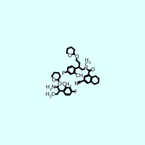 CCC(c1ccc(F)cc1C)C(N)OC1CCCCO1.Cc1cc(F)ccc1C(CCOC1CCCCO1)CN(C)C(=O)c1cc(C#N)cc2c1CCCC2